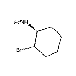 CC(=O)N[C@H]1CCCC[C@@H]1Br